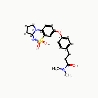 CN(C)C(=O)CCc1ccc(Oc2ccc3c(c2)S(=O)(=O)NC2CCCN32)cc1